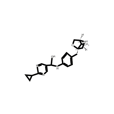 C[C@@H]1[C@H]2CO[C@]1(Cc1ccc(NC(O)c3cnc(C4CC4)nc3)cc1)CN2